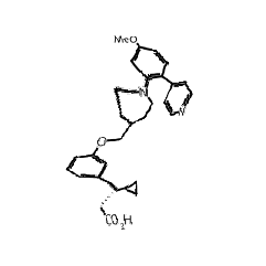 COc1ccc(-c2ccncc2)c(N2CCC(COc3cccc([C@@H](CC(=O)O)C4CC4)c3)CC2)c1